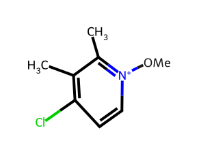 CO[n+]1ccc(Cl)c(C)c1C